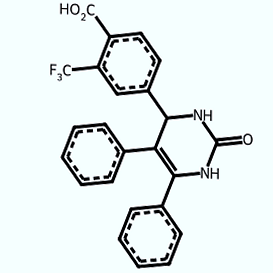 O=C1NC(c2ccccc2)=C(c2ccccc2)C(c2ccc(C(=O)O)c(C(F)(F)F)c2)N1